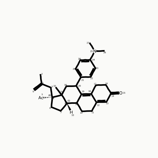 C=C(C)C[C@]1(C(C)=O)CC[C@H]2C3CCC4=CC(=O)CCC4=C3C(c3ccc(N(C)C)cc3)CC21C